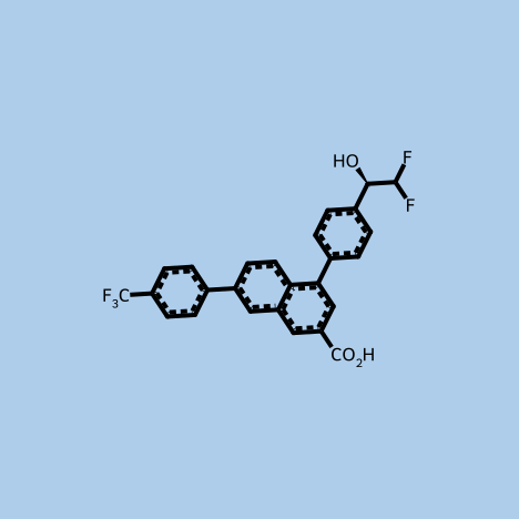 O=C(O)c1cc(-c2ccc([C@@H](O)C(F)F)cc2)c2ccc(-c3ccc(C(F)(F)F)cc3)cc2c1